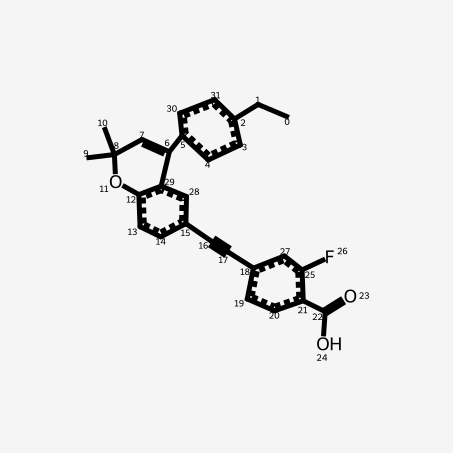 CCc1ccc(C2=CC(C)(C)Oc3ccc(C#Cc4ccc(C(=O)O)c(F)c4)cc32)cc1